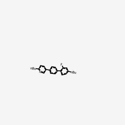 CCCCc1ccc(-c2ccc(-c3ccc(CCCC)nc3)cc2)c(F)c1